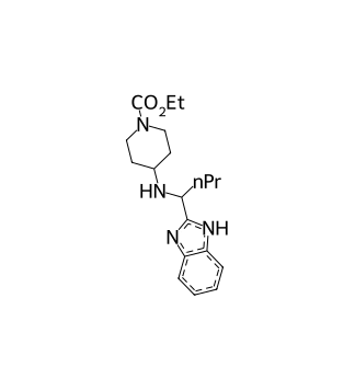 CCCC(NC1CCN(C(=O)OCC)CC1)c1nc2ccccc2[nH]1